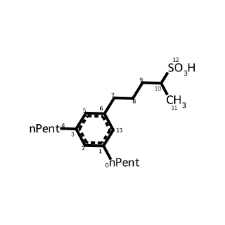 CCCCCc1cc(CCCCC)cc(CCCC(C)S(=O)(=O)O)c1